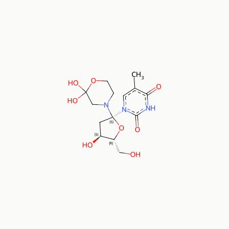 Cc1cn([C@@]2(N3CCOC(O)(O)C3)C[C@H](O)[C@@H](CO)O2)c(=O)[nH]c1=O